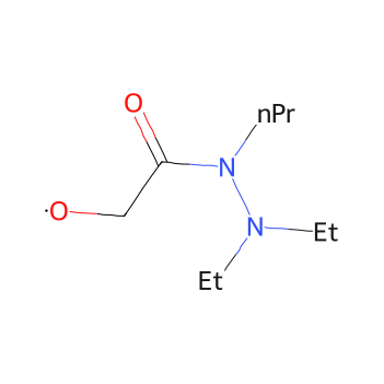 CCCN(C(=O)C[O])N(CC)CC